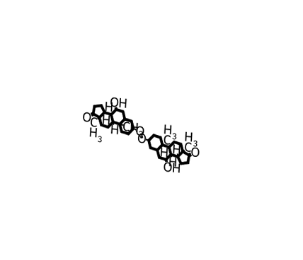 C[C@]12CC[C@H](OO[C@H]3CC[C@@]4(C)C(CC(O)[C@@H]5[C@@H]4CC[C@]4(C)C(=O)CC[C@@H]54)C3)CC1CC(O)[C@@H]1[C@@H]2CC[C@]2(C)C(=O)CC[C@@H]12